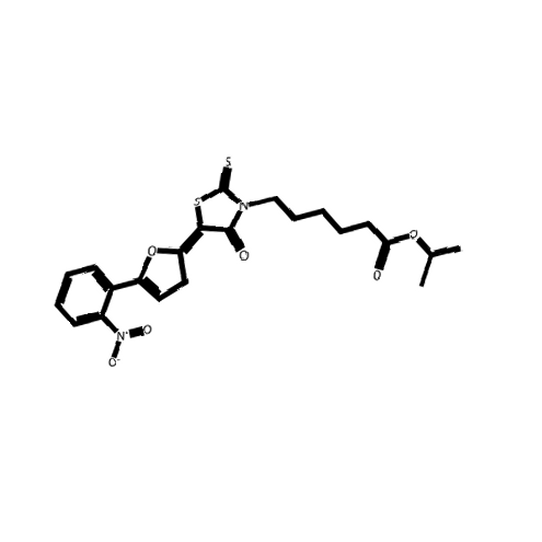 CC(C)OC(=O)CCCCCN1C(=O)/C(=C2\CC=C(c3ccccc3[N+](=O)[O-])O2)SC1=S